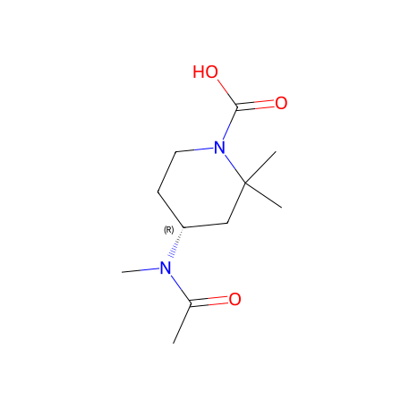 CC(=O)N(C)[C@@H]1CCN(C(=O)O)C(C)(C)C1